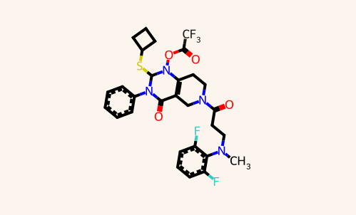 CN(CCC(=O)N1CCC2=C(C1)C(=O)N(c1ccccc1)C(SC1CCC1)N2OC(=O)C(F)(F)F)c1c(F)cccc1F